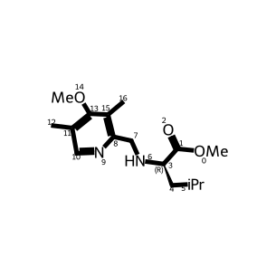 COC(=O)[C@@H](CC(C)C)NCc1ncc(C)c(OC)c1C